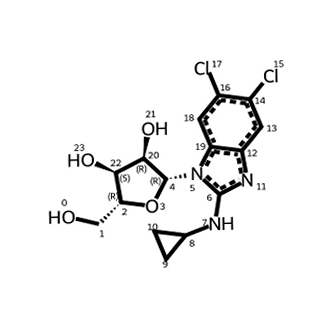 OC[C@H]1O[C@@H](n2c(NC3CC3)nc3cc(Cl)c(Cl)cc32)[C@H](O)[C@@H]1O